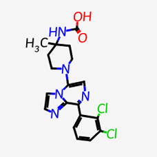 CC1(NC(=O)O)CCN(c2cnc(-c3cccc(Cl)c3Cl)c3nccn23)CC1